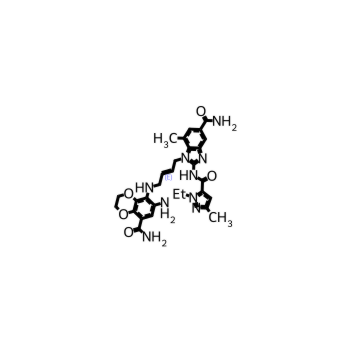 CCn1nc(C)cc1C(=O)Nc1nc2cc(C(N)=O)cc(C)c2n1C/C=C/CNc1c(N)cc(C(N)=O)c2c1OCCO2